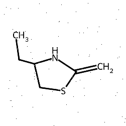 C=C1NC(CC)CS1